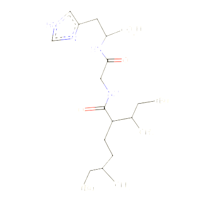 CC(CCC(C(=O)NCC(=O)NC(Cc1c[nH]cn1)C(=O)O)C(C)CC(C)(C)C)CC(C)(C)C